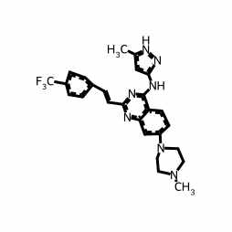 Cc1cc(Nc2nc(/C=C/c3ccc(C(F)(F)F)cc3)nc3cc(N4CCN(C)CC4)ccc23)n[nH]1